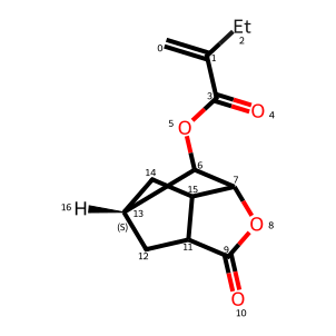 C=C(CC)C(=O)OC1C2OC(=O)C3C[C@@H]1CC32